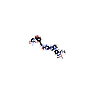 Cn1c(=O)n(C)c2cc(N3CCCc4nc(-c5ccc(C(=O)NCC#Cc6ccc7occ(N8CCC(=O)NC8=O)c7c6)nc5)ncc43)ccc21